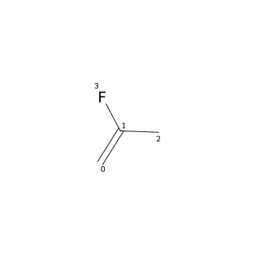 C=C(C)F